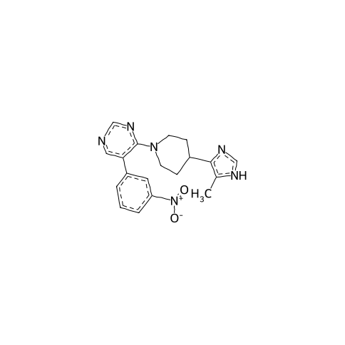 Cc1[nH]cnc1C1CCN(c2ncncc2-c2cccc([N+](=O)[O-])c2)CC1